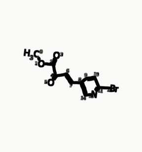 COC(=O)C(=O)C=Cc1ccc(Br)nc1